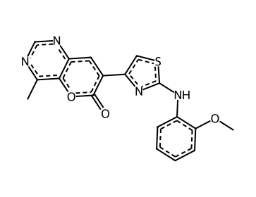 COc1ccccc1Nc1nc(-c2cc3ncnc(C)c3oc2=O)cs1